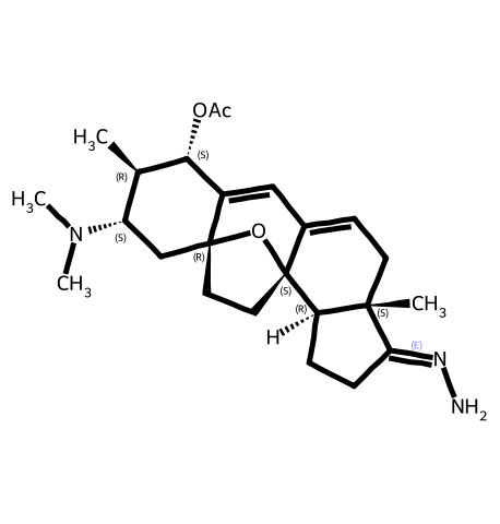 CC(=O)O[C@@H]1C2=CC3=CC[C@]4(C)/C(=N/N)CC[C@H]4[C@@]34CC[C@]2(C[C@H](N(C)C)[C@H]1C)O4